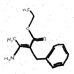 CCOC(=O)C(Cc1ccccc1)=C(C)N